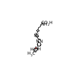 CN1C[C@H]2C[C@@H]1CN2c1ccc2ncc(-c3cnn(C4CC(CCCNC(=O)O)C4)c3)nc2c1